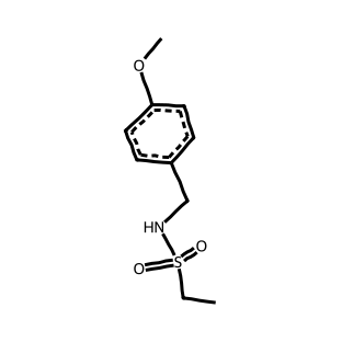 CCS(=O)(=O)NCc1ccc(OC)cc1